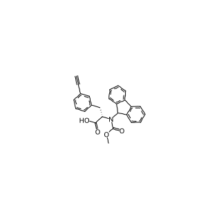 C#Cc1cccc(C[C@@H](C(=O)O)N(C(=O)OC)C2c3ccccc3-c3ccccc32)c1